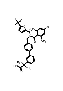 Cc1cc(Br)cc(C)c1C(=O)N(Cc1ccc(-c2cccc(C(C)(C)C(=O)O)c2)cc1)Cc1ccc(C(F)(F)F)o1